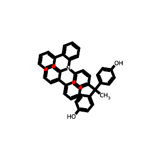 CC(c1ccc(O)cc1)(c1ccc(O)cc1)c1ccc(N(c2ccccc2-c2ccccc2)c2ccccc2-c2ccccc2)cc1